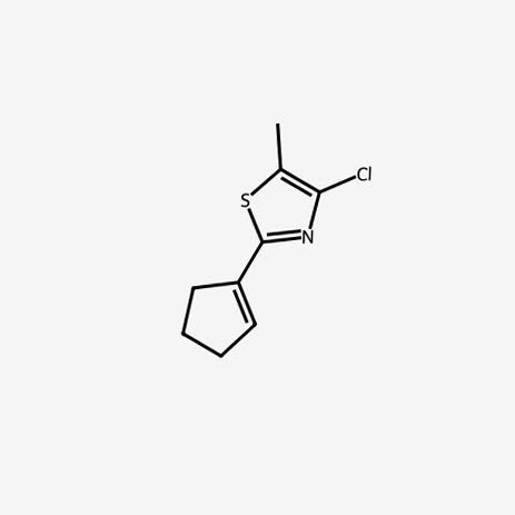 Cc1sc(C2=CCCC2)nc1Cl